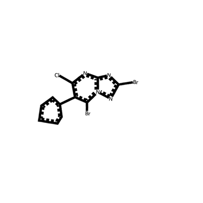 Clc1nc2nc(Br)nn2c(Br)c1-c1ccccc1